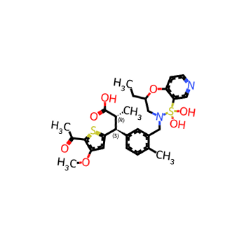 CCC1CN(Cc2cc([C@@H](c3cc(OC)c(C(C)=O)s3)[C@@H](C)C(=O)O)ccc2C)S(O)(O)c2cnccc2O1